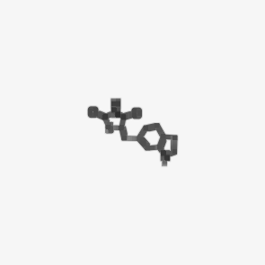 Cn1ccc2ccc(C=C3SC(=O)NC3=O)cc21